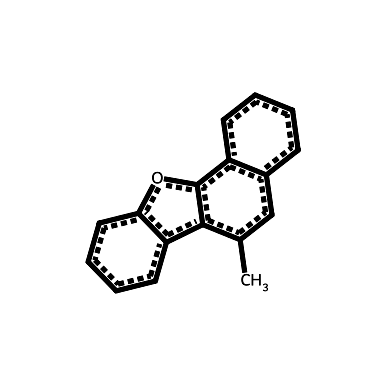 Cc1cc2ccccc2c2oc3ccccc3c12